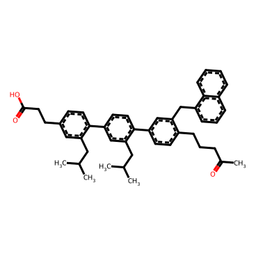 CC(=O)CCCc1ccc(-c2ccc(-c3ccc(CCC(=O)O)cc3CC(C)C)cc2CC(C)C)cc1Cc1cccc2ccccc12